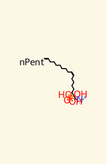 CCCCC/C=C\CCCCCCC/C=C\CCCCCC(O)(C[N+](C)(C)C)P(=O)(O)O